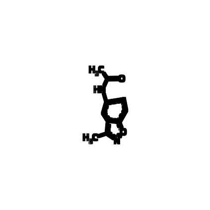 CC(=O)Nc1ccc2onc(C)c2c1